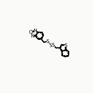 c1ccc2c(CSSSCc3ccc4nonc4c3)csc2c1